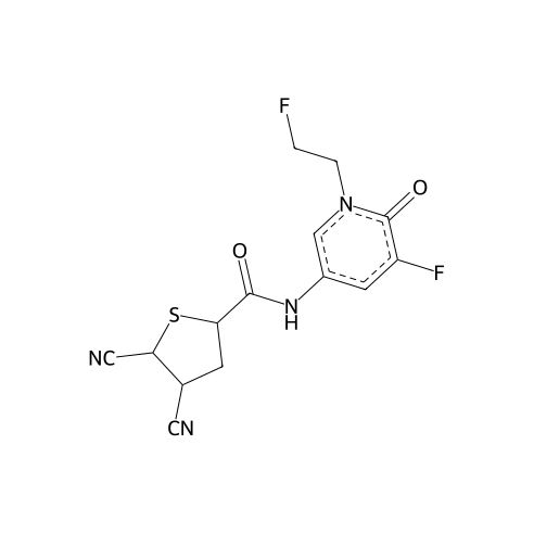 N#CC1CC(C(=O)Nc2cc(F)c(=O)n(CCF)c2)SC1C#N